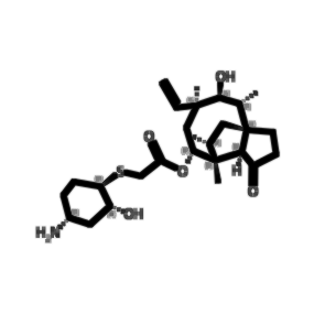 C=C[C@]1(C)C[C@@H](OC(=O)CS[C@@H]2CC[C@@H](N)C[C@H]2O)[C@]2(C)[C@H](C)C[C@]3(CCC(=O)[C@H]32)[C@@H](C)[C@@H]1O